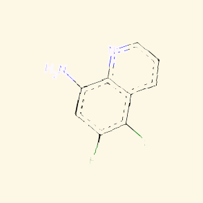 Nc1cc(F)c(Cl)c2cccnc12